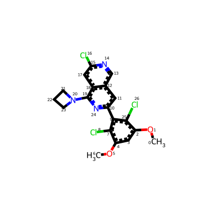 COc1cc(OC)c(Cl)c(-c2cc3cnc(Cl)cc3c(N3CCC3)n2)c1Cl